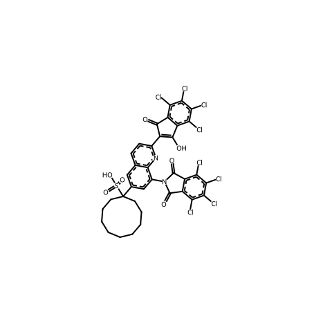 O=C1C(c2ccc3cc(C4(S(=O)(=O)O)CCCCCCCCC4)cc(N4C(=O)c5c(Cl)c(Cl)c(Cl)c(Cl)c5C4=O)c3n2)=C(O)c2c(Cl)c(Cl)c(Cl)c(Cl)c21